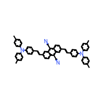 Cc1ccc(N(c2ccc(C)cc2)c2ccc(C=Cc3ccc4c(C#N)c5cc(C=Cc6ccc(N(c7ccc(C)cc7)c7ccc(C)cc7)cc6)ccc5c(C#N)c4c3)cc2)cc1